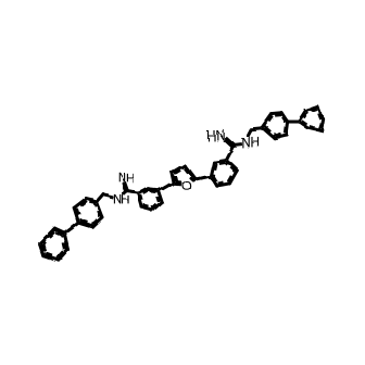 N=C(NCc1ccc(-c2ccccc2)cc1)c1cccc(-c2ccc(-c3cccc(C(=N)NCc4ccc(-c5ccccc5)cc4)c3)o2)c1